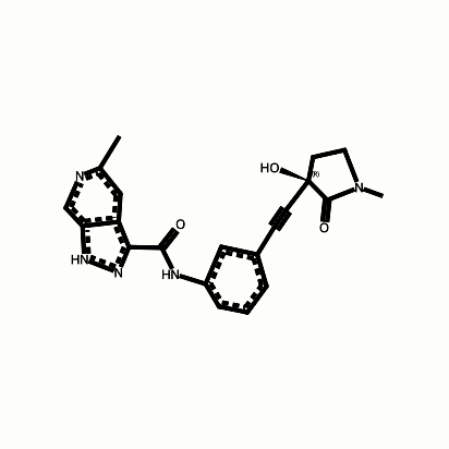 Cc1cc2c(C(=O)Nc3cccc(C#C[C@]4(O)CCN(C)C4=O)c3)n[nH]c2cn1